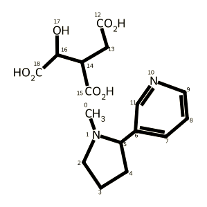 CN1CCCC1c1cccnc1.O=C(O)CC(C(=O)O)C(O)C(=O)O